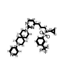 O=S(=O)(c1cccc(C(F)(F)F)c1)N(CCCc1ccnc(N2CCC3(CCN(c4ccncc4)CC3)CC2)n1)C1CC1